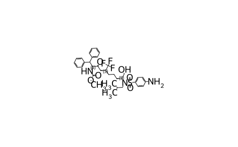 COC(=O)N[C@H](C(=O)C[C@H](CCC[C@@H](CO)N(CC(C)C)S(=O)(=O)c1ccc(N)cc1)C(F)(F)F)C(c1ccccc1)c1ccccc1